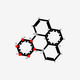 C1=CN(c2ccccc2)c2c3c(ccc2=C1)=CC=CN3c1ccccc1